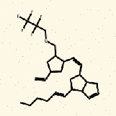 C=CC1CC(/C=C\C2CC(/C=C/CCCC)C3C=CCC23)C(COCC(F)(F)C(F)(F)F)C1